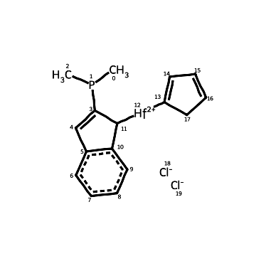 CP(C)C1=Cc2ccccc2[CH]1[Hf+2][C]1=CC=CC1.[Cl-].[Cl-]